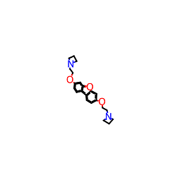 c1cc2c(cc1OCCN1CCC1)oc1cc(OCCN3CCC3)ccc12